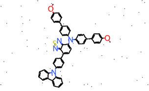 COc1ccc(-c2ccc(N(c3ccc(-c4ccc(OC)cc4)cc3)c3ccc(-c4ccc(-n5c6ccccc6c6ccccc65)cc4)c4nsnc34)cc2)cc1